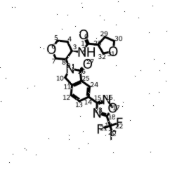 O=C(N[C@@H]1CCOCC1N1Cc2ccc(-c3noc(C(F)(F)F)n3)cc2C1=O)C1CCOC1